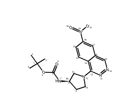 CC(C)(C)OC(=O)N[C@@H]1CCN(c2nncc3cc([N+](=O)[O-])ccc23)C1